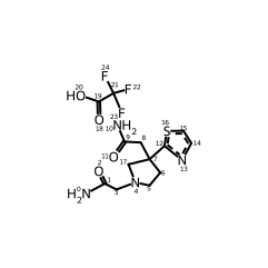 NC(=O)CN1CCC(CC(N)=O)(c2nccs2)C1.O=C(O)C(F)(F)F